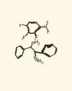 Fc1ccc(N(F)F)c(F)c1F.NC(c1ccccc1)C(N)c1ccccc1